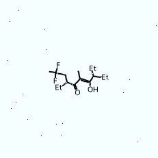 CCC(CC(C)(F)F)C(=O)/C(C)=C(\O)C(CC)CC